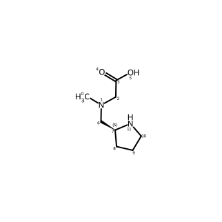 CN(CC(=O)O)C[C@@H]1CCCN1